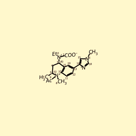 CCN(C(=O)[O-])[C@@H]1C[C@H](C)[N+](C)(C(C)=O)c2ccc(-c3cn(C)cn3)cc21